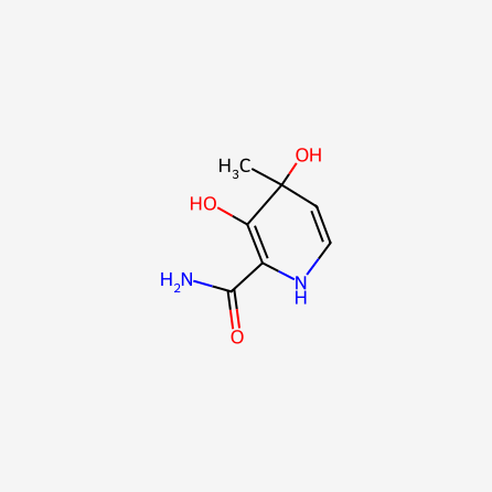 CC1(O)C=CNC(C(N)=O)=C1O